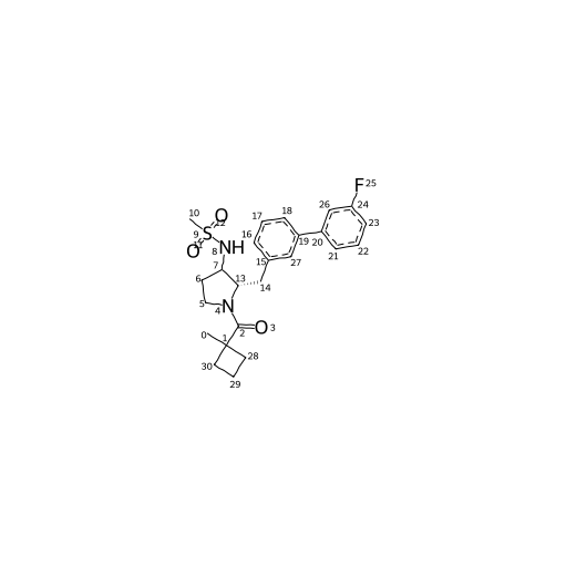 CC1(C(=O)N2CCC(NS(C)(=O)=O)[C@@H]2Cc2cccc(-c3cccc(F)c3)c2)CCC1